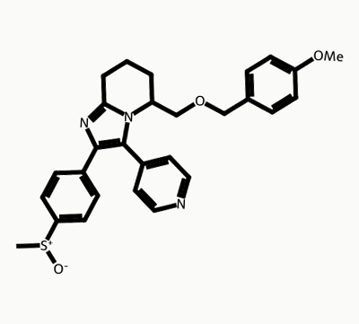 COc1ccc(COCC2CCCc3nc(-c4ccc([S+](C)[O-])cc4)c(-c4ccncc4)n32)cc1